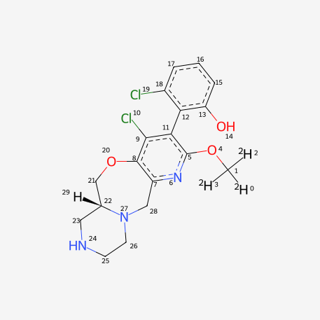 [2H]C([2H])([2H])Oc1nc2c(c(Cl)c1-c1c(O)cccc1Cl)OC[C@H]1CNCCN1C2